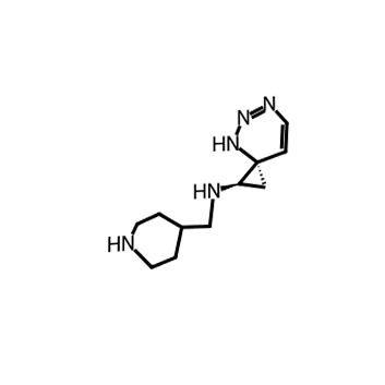 C1=C[C@]2(C[C@H]2NCC2CCNCC2)NN=N1